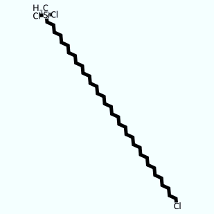 C[Si](Cl)(Cl)CCCCCCCCCCCCCCCCCCCCCCCCCCCCCCCCCCCCCl